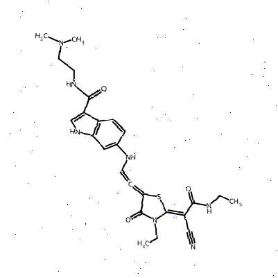 CCNC(=O)/C(C#N)=c1\sc(=C=CNc2ccc3c(C(=O)NCCN(C)C)c[nH]c3c2)c(=O)n1CC